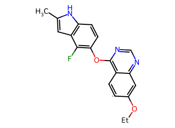 CCOc1[c]cc2c(Oc3ccc4[nH]c(C)cc4c3F)ncnc2c1